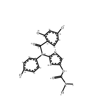 CCN(C)C(=O)Oc1cnc(N(C(=O)c2ccc(Cl)cc2Cl)c2ccc(Cl)cc2)s1